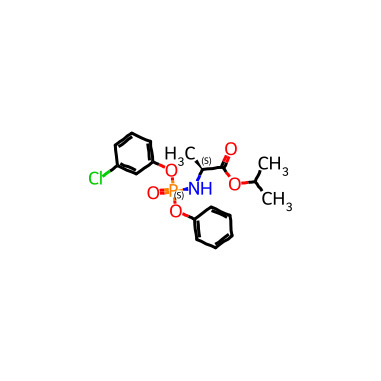 CC(C)OC(=O)[C@H](C)N[P@](=O)(Oc1ccccc1)Oc1cccc(Cl)c1